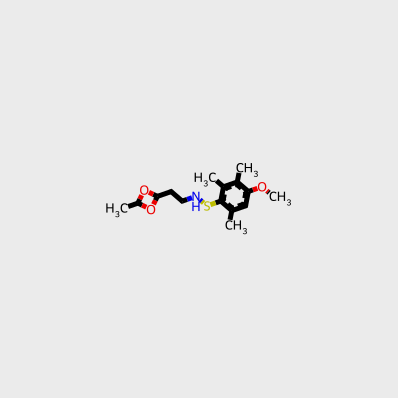 COc1cc(C)c(SNCCC2OC(C)O2)c(C)c1C